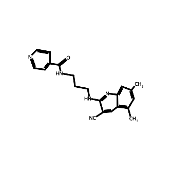 Cc1cc(C)c2cc(C#N)c(NCCCNC(=O)c3ccncc3)nc2c1